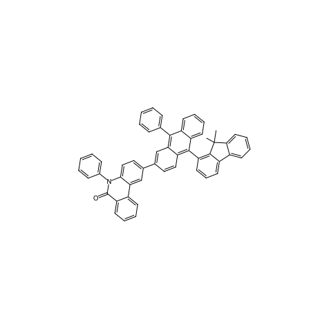 CC1(C)c2ccccc2-c2cccc(-c3c4ccccc4c(-c4ccccc4)c4cc(-c5ccc6c(c5)c5ccccc5c(=O)n6-c5ccccc5)ccc34)c21